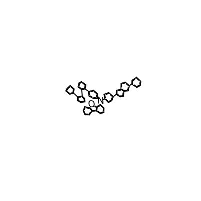 c1ccc(-c2ccc3cc(-c4ccc(N(c5ccc(-c6ccccc6-c6ccccc6-c6ccccc6)cc5)c5cccc6c5oc5ccccc56)cc4)ccc3c2)cc1